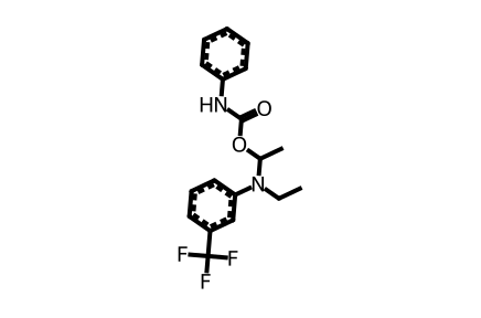 CCN(c1cccc(C(F)(F)F)c1)C(C)OC(=O)Nc1ccccc1